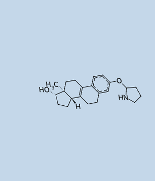 C[C@]12CCC3=C(CCc4cc(OC5CCCN5)ccc43)[C@@H]1CC[C@@H]2O